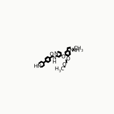 CCOCCOc1cc2c(ccn2NC)cc1Oc1ccnc(NC(=O)c2ccc(C3CCNCC3)cc2)c1